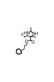 CC1=C(C(=O)OCCCc2ccccc2)C(CF)NC(=S)N1